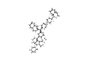 CC1CC=Cc2c1c1c(-c3cccc(N(c4ccc(-c5ccc(-c6cccc7ccccc67)cc5)cc4)c4ccc5ccccc5c4)c3)cccc1n2-c1ccccc1